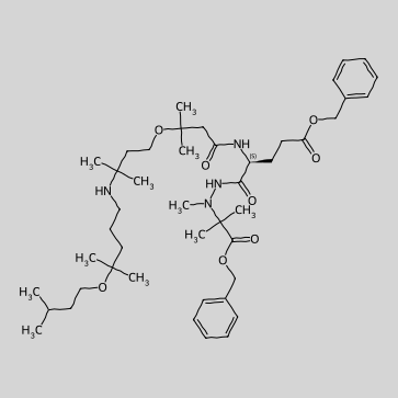 CC(C)CCOC(C)(C)CCCNC(C)(C)CCOC(C)(C)CC(=O)N[C@@H](CCC(=O)OCc1ccccc1)C(=O)NN(C)C(C)(C)C(=O)OCc1ccccc1